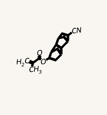 C=C(C)C(=O)OC1CC2CC1C1C3CC(C#N)C(C3)C21